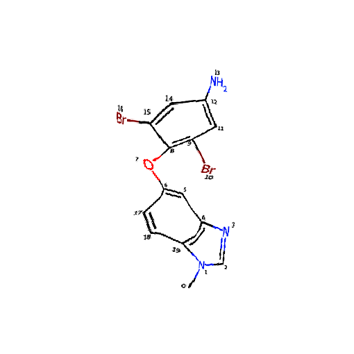 Cn1cnc2cc(Oc3c(Br)cc(N)cc3Br)ccc21